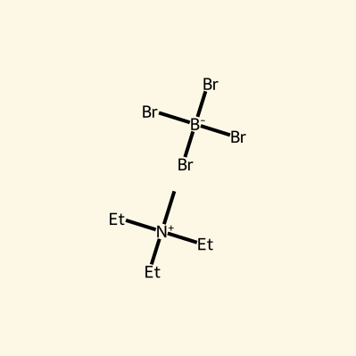 Br[B-](Br)(Br)Br.CC[N+](C)(CC)CC